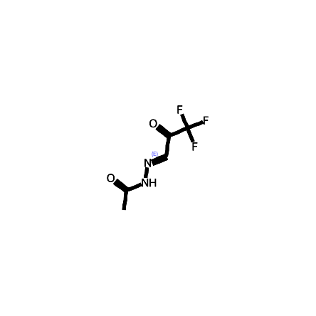 CC(=O)N/N=C/C(=O)C(F)(F)F